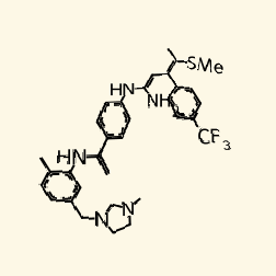 C=C(Nc1cc(CN2CCN(C)C2)ccc1C)c1ccc(N/C(N)=C/C(=C(\C)SC)c2ccc(C(F)(F)F)cc2)cc1